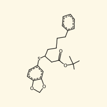 CC(C)(C)OC(=O)CC(CCCCc1ccccc1)Sc1ccc2c(c1)OCO2